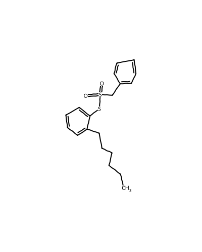 CCCCCCc1ccccc1SS(=O)(=O)Cc1ccccc1